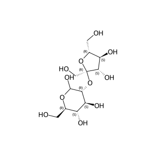 OC[C@H]1O[C@](CO)(O[C@H]2C(O)O[C@H](CO)[C@@H](O)[C@@H]2O)[C@@H](O)[C@@H]1O